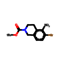 CC(C)(C)OC(=O)N1CCc2c(ccc(Br)c2[N+](=O)[O-])C1